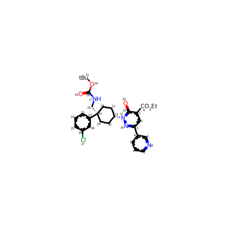 CCOC(=O)c1cc(-c2cccnc2)nn([C@H]2CC[C@](CNC(=O)OC(C)(C)C)(c3cccc(Cl)c3)CC2)c1=O